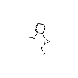 COc1ccccc1C1C[C@H]1CO